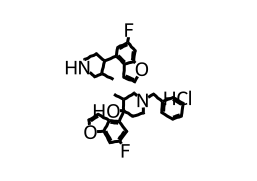 CC1CN(Cc2ccccc2)CCC1(O)c1cc(F)cc2occc12.CC1CNCCC1c1cc(F)cc2occc12.Cl